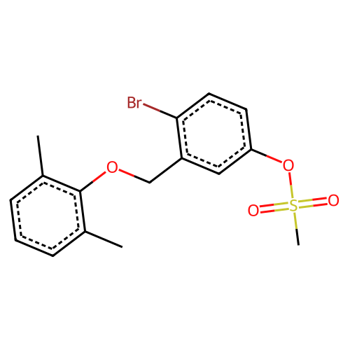 Cc1cccc(C)c1OCc1cc(OS(C)(=O)=O)ccc1Br